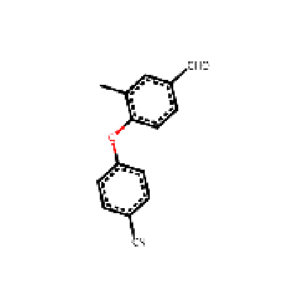 Cc1cc(C=O)ccc1Oc1ccc(C#N)cc1